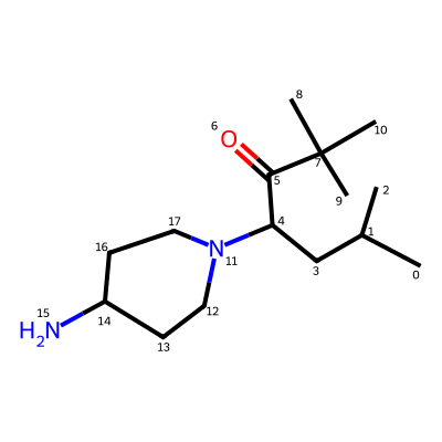 CC(C)CC(C(=O)C(C)(C)C)N1CCC(N)CC1